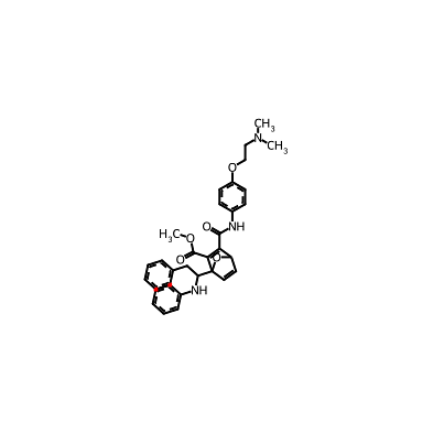 COC(=O)C1=C(C(=O)Nc2ccc(OCCN(C)C)cc2)C2C=CC1(C(Cc1ccccc1)Nc1ccccc1)O2